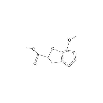 COC(=O)C1Cc2cccc(OC)c2O1